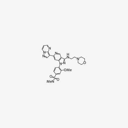 CNS(=O)(=O)c1ccc(-n2nc(NCCN3CCOCC3)c3cnc(-c4cnn5cccnc45)cc32)c(OC)c1